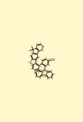 CC1(C)C2=C(CCC=C2)c2cc3c(cc21)sc1cccc(-c2ccc(C#N)cc2-n2c4ccccc4c4ccccc42)c13